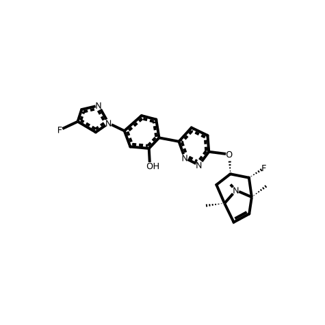 CN1[C@@]2(C)C=C[C@]1(C)[C@@H](F)[C@@H](Oc1ccc(-c3ccc(-n4cc(F)cn4)cc3O)nn1)C2